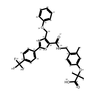 Cc1cc(OC(C)(C)C(=O)O)ccc1CNC(=O)c1sc(-c2ccc(C(F)(F)F)cc2)nc1COc1ccccc1